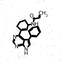 C=CC(=O)NC1C=C(c2ncnc3[nH]cc(-c4ccccc4)c23)CCC1